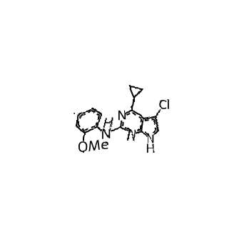 COc1c[c]ccc1Nc1nc(C2CC2)c2c(Cl)c[nH]c2n1